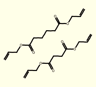 C=CCOC(=O)CCC(=O)OCC=C.C=CCOC(=O)CCCCC(=O)OCC=C